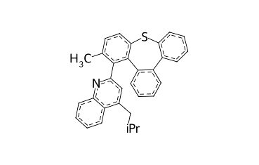 Cc1ccc2c(c1-c1cc(CC(C)C)c3ccccc3n1)-c1ccccc1-c1ccccc1S2